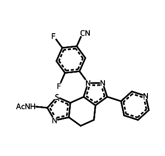 CC(=O)Nc1nc2c(s1)-c1c(c(-c3cccnc3)nn1-c1cc(C#N)c(F)cc1F)CC2